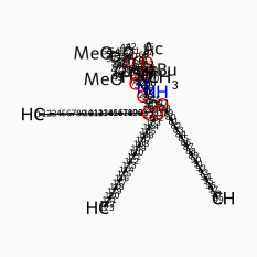 C#CC#CC#CC#CC#CC#CC#CC#CC#CC#CC#COc1cc(C(=O)Nc2ccn([C@@H]3O[C@H](COC(c4ccccc4)(c4ccc(OC)cc4)c4ccc(OC)cc4)[C@H](OC(=O)CCC(C)=O)C3O[Si](C)(C)C(C)(C)C)c(=O)n2)cc(OC#CC#CC#CC#CC#CC#CC#CC#CC#CC#CC#C)c1OC#CC#CC#CC#CC#CC#CC#CC#CC#CC#CC#C